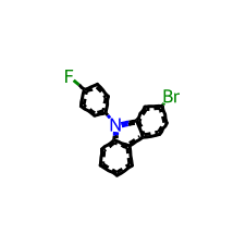 Fc1ccc(-n2c3ccccc3c3ccc(Br)cc32)cc1